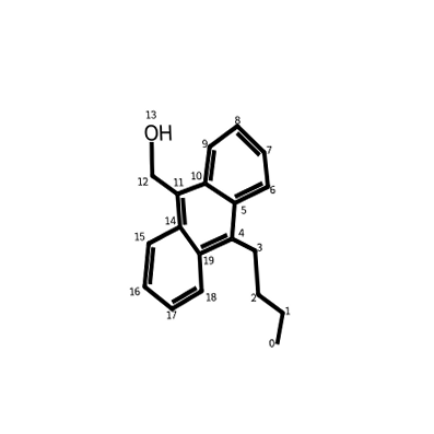 CCCCc1c2ccccc2c(CO)c2ccccc12